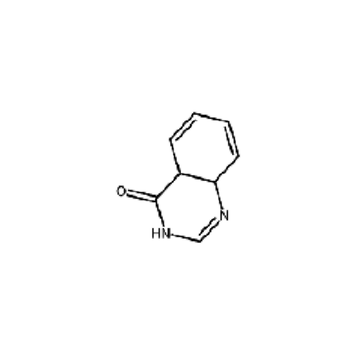 O=C1NC=NC2C=CC=CC12